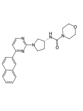 O=C(N[C@@H]1CCN(c2nccc(-c3ccc4ccccc4c3)n2)C1)N1CCOCC1